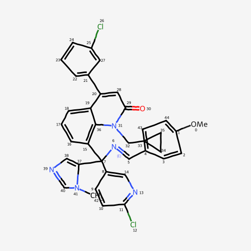 COc1ccc(/C=N/C(c2ccc(Cl)nc2)(c2cccc3c(-c4cccc(Cl)c4)cc(=O)n(CC4CC4)c23)c2cncn2C)cc1